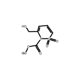 CC(C)(C)OC(=O)N1C(CO)=CC=CS1(=O)=O